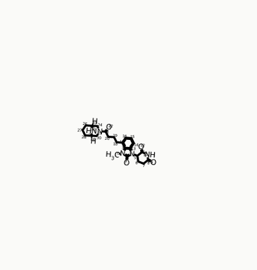 Cn1c(=O)n(C2CCC(=O)NC2=O)c2cccc(CCCC(=O)N3C[C@H]4CCC[C@@H](C3)N4)c21